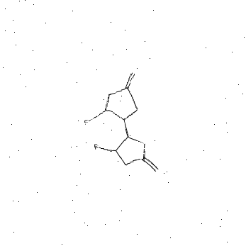 C=C1CC(F)C(C2CC(=C)CC2F)C1